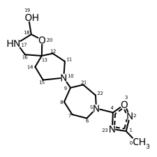 Cc1noc(N2CCCC(N3CCC4(CC3)CNC(O)O4)CC2)n1